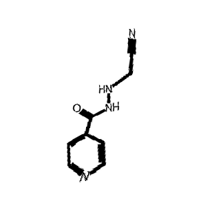 N#CCNNC(=O)c1ccncc1